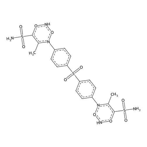 Cc1c(S(N)(=O)=O)o[nH]on1-c1ccc(S(=O)(=O)c2ccc(-n3o[nH]oc(S(N)(=O)=O)c3C)cc2)cc1